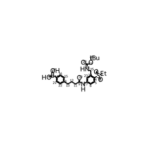 CCS(=O)(=O)c1ccc(NC(=O)CCCc2ccc(B(O)O)cc2)cc1CNC(=O)OC(C)(C)C